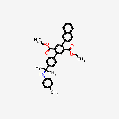 CCOC(=O)c1cc(-c2ccc3ccccc3c2)c(C(=O)OCC)cc1-c1ccc(C(C)(C)Nc2ccc(C)cc2)cc1